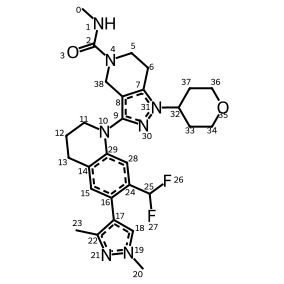 CNC(=O)N1CCc2c(c(N3CCCc4cc(-c5cn(C)nc5C)c(C(F)F)cc43)nn2C2CCOCC2)C1